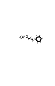 O=[C]CSCc1ccccc1